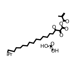 C=C(C)C(=O)OC(=O)C(=O)C(=O)CCCCCCCCCCCCCCC(C)C.[O]=[Ti]([OH])[OH]